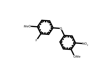 COc1ccc(Oc2ccc(OC)c([N+](=O)[O-])c2)cc1F